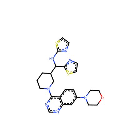 c1csc(NC(c2nccs2)C2CCCN(c3ncnc4cc(N5CCOCC5)ccc34)C2)n1